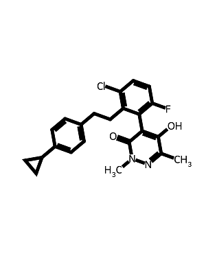 Cc1nn(C)c(=O)c(-c2c(F)ccc(Cl)c2CCc2ccc(C3CC3)cc2)c1O